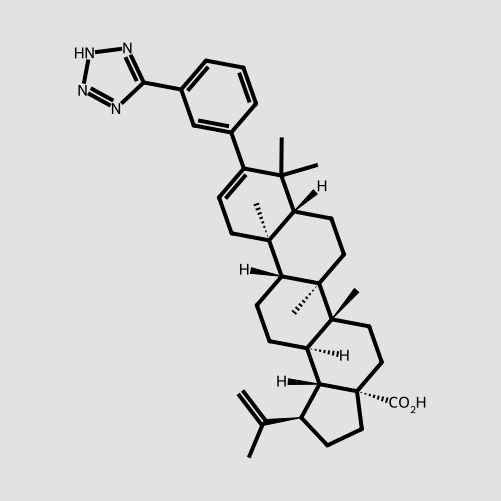 C=C(C)[C@@H]1CC[C@]2(C(=O)O)CC[C@]3(C)[C@H](CC[C@@H]4[C@@]5(C)CC=C(c6cccc(-c7nn[nH]n7)c6)C(C)(C)[C@@H]5CC[C@]43C)[C@@H]12